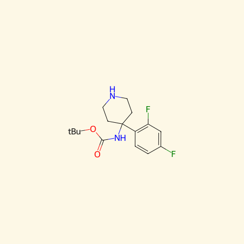 CC(C)(C)OC(=O)NC1(c2ccc(F)cc2F)CCNCC1